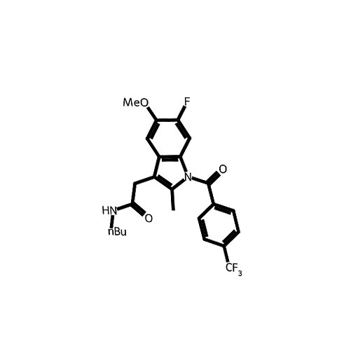 CCCCNC(=O)Cc1c(C)n(C(=O)c2ccc(C(F)(F)F)cc2)c2cc(F)c(OC)cc12